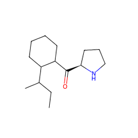 CCC(C)C1CCCCC1C(=O)[C@H]1CCCN1